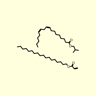 C=CC(=O)OCCCCCCCCCCCCCCCCCC.CCCCC/C=C\C/C=C\CCCCCCCC(=O)OCC(C)C